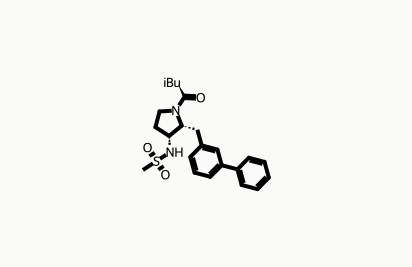 CC[C@H](C)C(=O)N1CC[C@@H](NS(C)(=O)=O)[C@H]1Cc1cccc(-c2ccccc2)c1